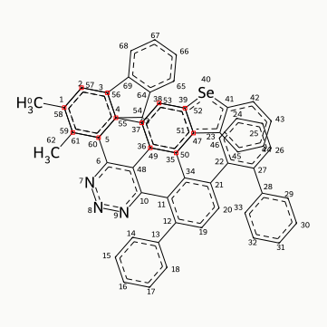 Cc1cc2c(c(-c3nnnc(-c4c(-c5ccccc5)ccc(-c5ccccc5-c5ccccc5)c4-c4cccc5[se]c6ccccc6c45)c3-c3ccccc3-c3ccccc3)c1C)Cc1ccccc1-2